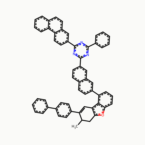 CC1Cc2oc3cccc(-c4ccc5ccc(-c6nc(-c7ccccc7)nc(-c7ccc8c(ccc9ccccc98)c7)n6)cc5c4)c3c2C=C1c1ccc(-c2ccccc2)cc1